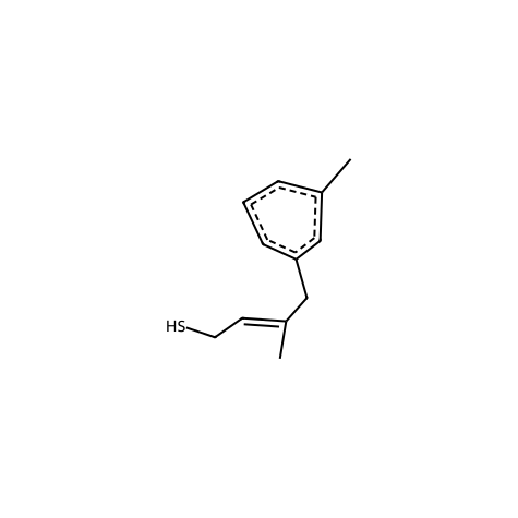 CC(=CCS)Cc1cccc(C)c1